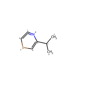 CC(C)C1=CSC=C=N1